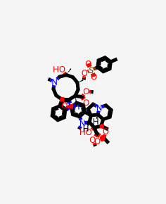 CC[C@]12C=CCN3CCC4(c5cc([C@@]6(C(=O)OC)C[C@@H](COS(=O)(=O)c7ccc(C)cc7)C[C@](C)(O)CN(C)CCc7c6[nH]c6ccccc76)c(OC)cc5N(C)[C@H]4C(O)(C(=O)OC)[C@@H]1OC(C)=O)[C@@H]32